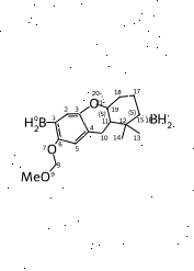 Bc1cc2c(cc1OCOC)CC1C(C)(C)[C@@H](B)CC[C@]1(C)O2